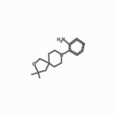 CC1(C)CC2(CCN(c3ccccc3N)CC2)CO1